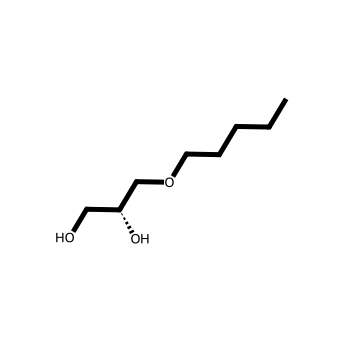 CCCCCOC[C@H](O)CO